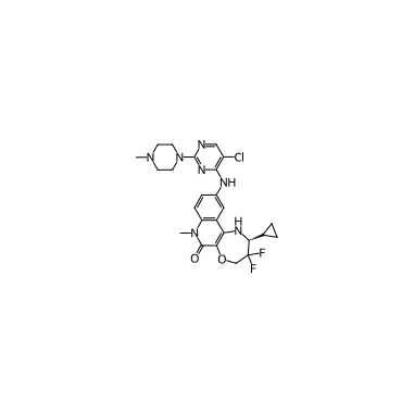 CN1CCN(c2ncc(Cl)c(Nc3ccc4c(c3)c3c(c(=O)n4C)OCC(F)(F)[C@H](C4CC4)N3)n2)CC1